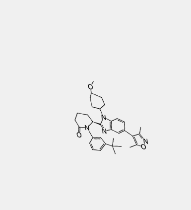 COC1CCC(n2c([C@@H]3CCCC(=O)N3c3cccc(C(C)(C)C)c3)nc3cc(-c4c(C)noc4C)ccc32)CC1